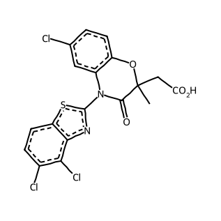 CC1(CC(=O)O)Oc2ccc(Cl)cc2N(c2nc3c(Cl)c(Cl)ccc3s2)C1=O